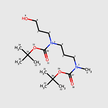 CN(CCCN(CCCO)C(=O)OC(C)(C)C)C(=O)OC(C)(C)C